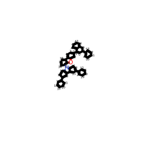 C1=C(c2ccc3c(c2)oc2c(-n4c5ccc(-c6ccccc6)cc5c5cc(-c6ccccc6)ccc54)cccc23)c2ccccc2CC1c1ccccc1